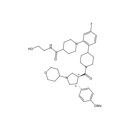 COc1ccc([C@@H]2CN(C3CCOCC3)C[C@H]2C(=O)N2CCC(c3ccc(F)cc3N3CCC(C(=O)NCCO)CC3)CC2)cc1